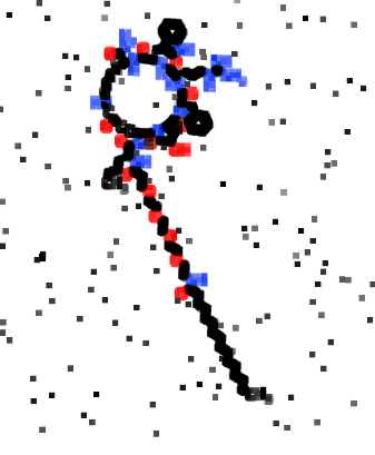 CCCCCCCCCCCCCCCC(=O)NCCOCCOCCOCCOCCC(=O)N[C@@H](CCCC)C(=O)N[C@H]1CCC(=O)CNCCCC[C@@H](C(N)=O)NC(=O)[C@H](Cc2c[nH]c3ccccc23)NC(=O)[C@H](CCCNC(=N)N)NC(=O)[C@@H](Cc2ccccc2)NC(=O)[C@@H]2C[C@@H](O)CN2C1=O